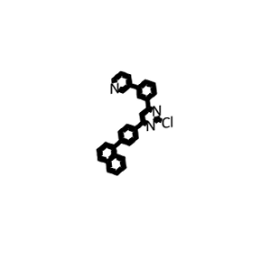 Clc1nc(-c2ccc(-c3cccc4ccccc34)cc2)cc(-c2cccc(-c3cccnc3)c2)n1